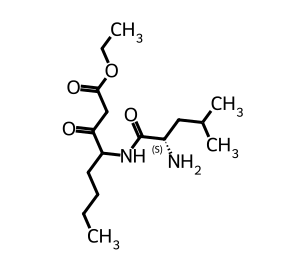 CCCCC(NC(=O)[C@@H](N)CC(C)C)C(=O)CC(=O)OCC